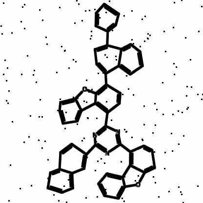 c1ccc(-c2ccc(-c3ccc(-c4nc(-c5ccc6ccccc6c5)nc(-c5cccc6oc7ccccc7c56)n4)c4c3oc3ccccc34)c3ccccc23)cc1